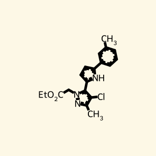 CCOC(=O)Cn1nc(C)c(Cl)c1-c1ccc(-c2cccc(C)c2)[nH]1